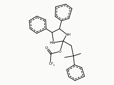 CC(C)(CC1(OC(=O)C(F)(F)F)NC(c2ccccc2)C(c2ccccc2)N1)c1ccccc1